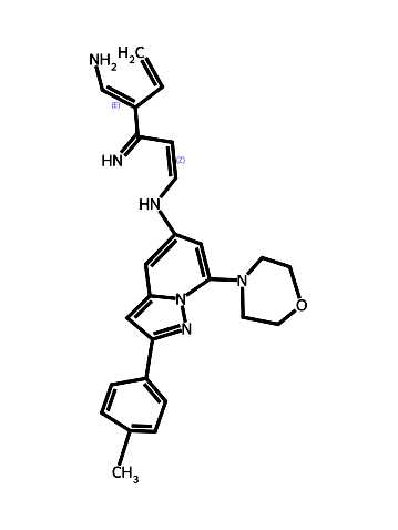 C=C/C(=C\N)C(=N)/C=C\Nc1cc(N2CCOCC2)n2nc(-c3ccc(C)cc3)cc2c1